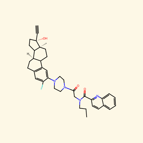 C#C[C@]1(O)CCC2[C@@H]3CCc4cc(F)c(N5CCN(C(=O)CN(CCC)C(=O)c6ccc7ccccc7n6)CC5)cc4C3CC[C@@]21C